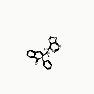 C[C@H](Nc1ncnc2scnc12)c1cc2ccccc2c(=O)n1-c1ccccc1